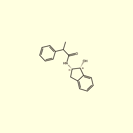 CC(C(=O)N[C@H]1Cc2ccccc2[C@H]1O)c1ccccc1